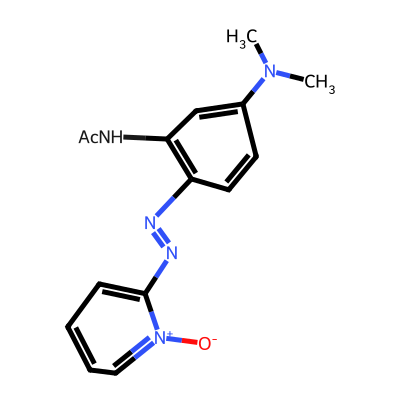 CC(=O)Nc1cc(N(C)C)ccc1N=Nc1cccc[n+]1[O-]